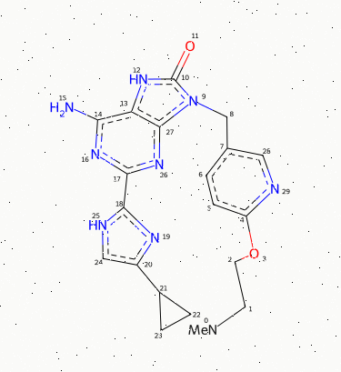 CNCCOc1ccc(Cn2c(=O)[nH]c3c(N)nc(-c4nc(C5CC5)c[nH]4)nc32)cn1